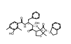 Cc1ccc(C(=O)N[C@@H](Cc2ccccc2)[C@H](O)C(=O)N2CSC3(C)[C@H]2C(=O)N3[C@H]2CCc3ccccc32)c(C)c1O